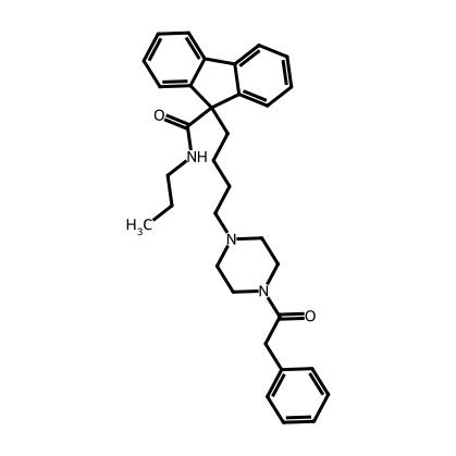 CCCNC(=O)C1(CCCCN2CCN(C(=O)Cc3ccccc3)CC2)c2ccccc2-c2ccccc21